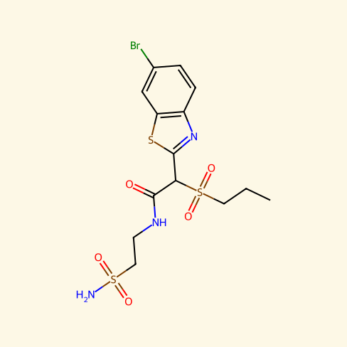 CCCS(=O)(=O)C(C(=O)NCCS(N)(=O)=O)c1nc2ccc(Br)cc2s1